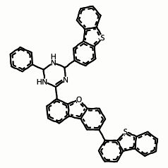 c1ccc(C2NC(c3cccc4c3oc3ccc(-c5cccc6c5sc5ccccc56)cc34)=NC(c3ccc4sc5ccccc5c4c3)N2)cc1